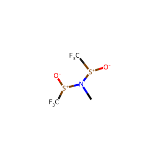 CN([S+]([O-])C(F)(F)F)[S+]([O-])C(F)(F)F